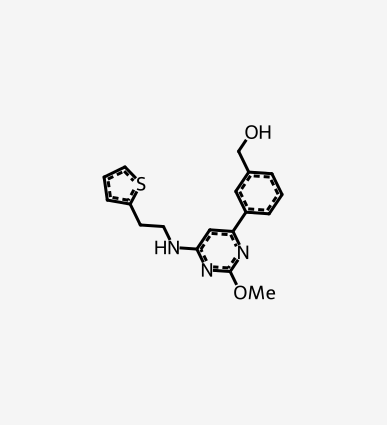 COc1nc(NCCc2cccs2)cc(-c2cccc(CO)c2)n1